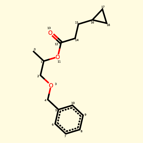 CC(COCc1ccccc1)OC(=O)CCC1CC1